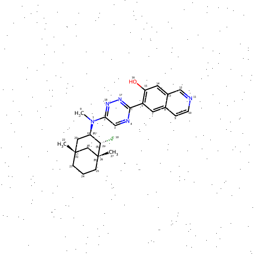 CN(c1cnc(-c2cc3ccncc3cc2O)nn1)[C@@H]1C[C@@]2(C)CCC[C@](C)(C2)[C@H]1F